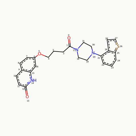 O=C(CCCOc1ccc2ccc(=O)[nH]c2c1)N1CCN(c2cccc3sccc23)CC1